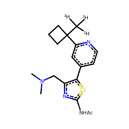 [2H]C([2H])([2H])C1(c2cc(-c3sc(NC(C)=O)nc3CN(C)C)ccn2)CCC1